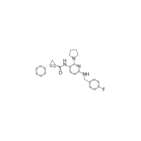 O=C(Nc1ccc(NCc2ccc(F)cc2)nc1N1CCCC1)[C@@H]1C[C@H]1c1ccccc1